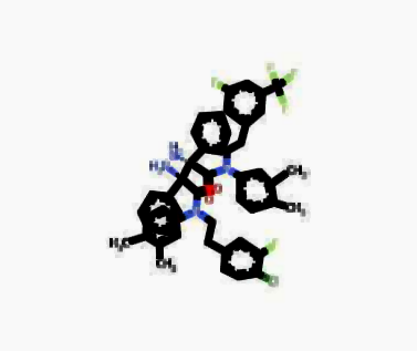 Cc1ccc(N(CCc2cc(F)cc(C(F)(F)F)c2)C(=O)[C@](N)(c2ccccc2)[C@](N)(C(=O)N(CCc2ccc(Cl)c(F)c2)c2ccc(C)c(C)c2)c2ccccc2)cc1C